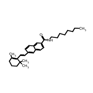 CCCCCCCCNC(=O)c1ccc2cc(/C=C/C3=C(C)CCCC3(C)C)ccc2c1